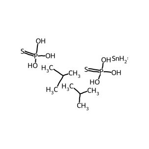 CC(C)C.CC(C)C.OP(O)(O)=S.OP(O)(O)=S.[SnH2]